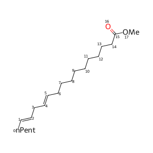 CCCCCC=CCC=CCCCCCCCCCC(=O)OC